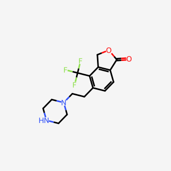 O=C1OCc2c1ccc(CCN1CCNCC1)c2C(F)(F)F